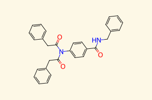 O=C(NCc1ccccc1)c1ccc(N(C(=O)Cc2ccccc2)C(=O)Cc2ccccc2)cc1